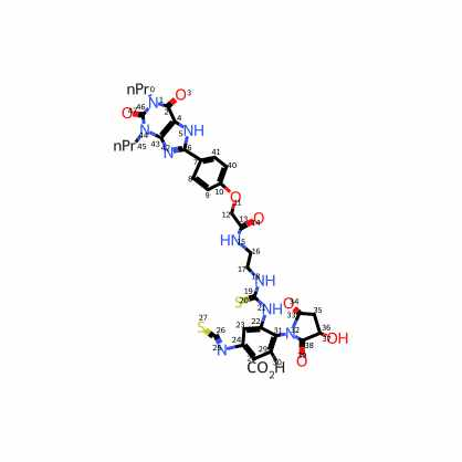 CCCn1c(=O)c2[nH]c(-c3ccc(OCC(=O)NCCNC(=S)Nc4cc(N=C=S)cc(C(=O)O)c4N4C(=O)CC(O)C4=O)cc3)nc2n(CCC)c1=O